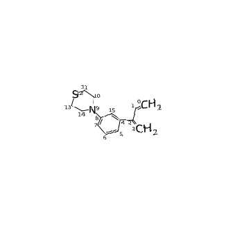 C=CC(=C)c1cccc(N2CCSCC2)c1